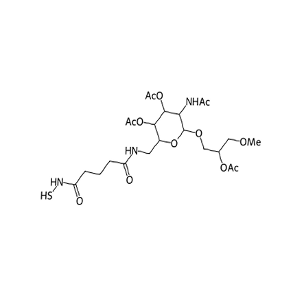 COCC(COC1OC(CNC(=O)CCCC(=O)NS)C(OC(C)=O)C(OC(C)=O)C1NC(C)=O)OC(C)=O